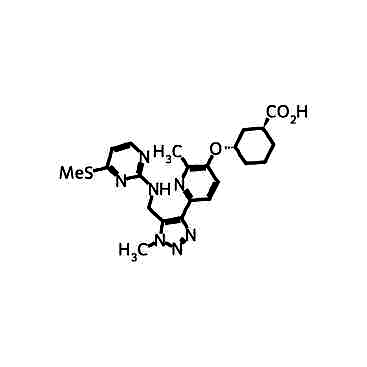 CSc1ccnc(NCc2c(-c3ccc(O[C@H]4CCC[C@H](C(=O)O)C4)c(C)n3)nnn2C)n1